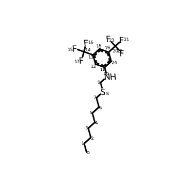 CCCCCCCCSCNc1cc(C(F)(F)F)cc(C(F)(F)F)c1